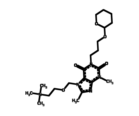 Cc1nc2c(c(=O)n(CCCOC3CCCCO3)c(=O)n2C)n1COCC[Si](C)(C)C